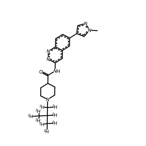 [2H]C([2H])([2H])C([2H])(C([2H])([2H])[2H])C([2H])([2H])N1CCC(C(=O)Nc2cc3cc(-c4cnn(C)c4)ccc3nn2)CC1